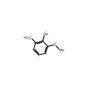 CCCCOc1cccc(C(=O)O)c1O